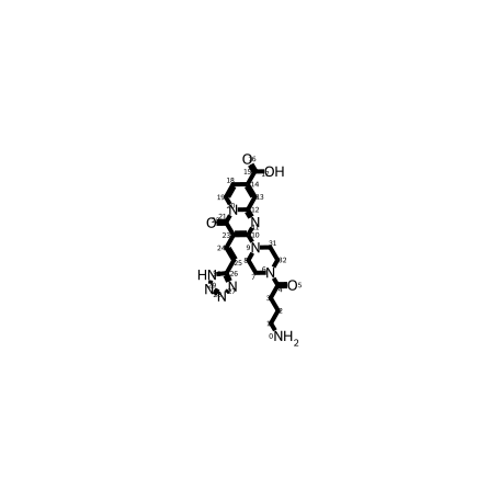 NCCCC(=O)N1CCN(c2nc3cc(C(=O)O)ccn3c(=O)c2/C=C/c2nnn[nH]2)CC1